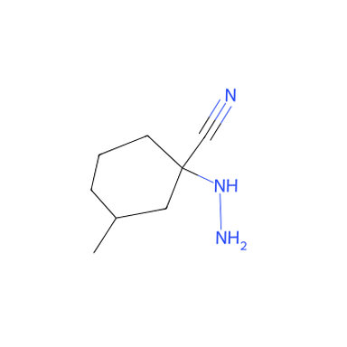 CC1CCCC(C#N)(NN)C1